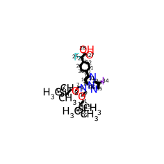 C[Si](C)(C)CCOCN(COCC[Si](C)(C)C)c1cc(C2CCC(C(F)C(=O)O)CC2)nc2c(I)cnn12